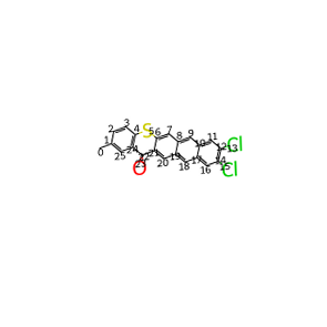 Cc1ccc2sc3cc4cc5cc(Cl)c(Cl)cc5cc4cc3c(=O)c2c1